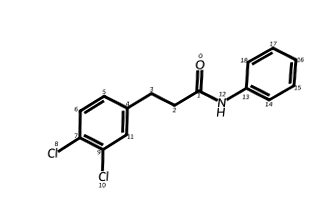 O=C(CCc1ccc(Cl)c(Cl)c1)Nc1ccccc1